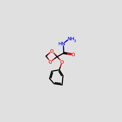 NNC(=O)C1(Oc2ccccc2)OCO1